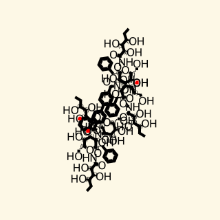 CC[C@@H](O)[C@H](O)[C@H](O)C(=O)NO[C@@]1(Cc2ccccc2)O[C@H](CO)[C@@H](O)[C@H](O)[C@@]1(O)N(C(=O)c1ccc(-c2ccc(C(=O)N([C@]3(O)[C@@H](O)[C@H](O)[C@@H](CO)O[C@]3(Cc3ccccc3)ONC(=O)[C@@H](O)[C@@H](O)[C@H](O)CC)[C@]3(O)[C@@H](O)[C@H](O)[C@@H](CO)O[C@]3(Cc3ccccc3)ONC(=O)[C@@H](O)[C@@H](O)[C@H](O)CC)cc2)cc1)[C@]1(O)[C@@H](O)[C@H](O)[C@@H](CO)O[C@]1(Cc1ccccc1)ONC(=O)[C@@H](O)[C@@H](O)[C@H](O)CC